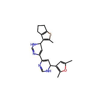 Cc1cc(C2C=C(C3=CC(c4c(C)sc5c4CCC5)NC=N3)N=CN2)c(C)o1